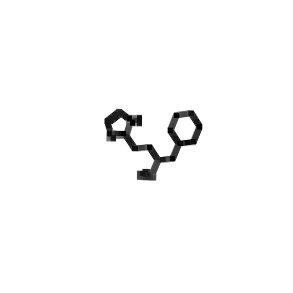 CCCCC(CCc1ncc[nH]1)CC1CCCCC1